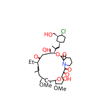 CC[C@@H]1/C=C(\C)C[C@H](C)C[C@H](OC)C2O[C@@](O)(C(=O)C(=O)N3CCCC[C@H]3C(=O)O[C@H](/C(C)=C/[C@@H]3CC[C@H](Cl)[C@H](CO)C3)[C@H](C)[C@@H](O)CC1=O)[C@H](C)C[C@@H]2OC